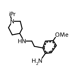 COc1ccc(N)c(CCNC2CCN(C(C)C)CC2)c1